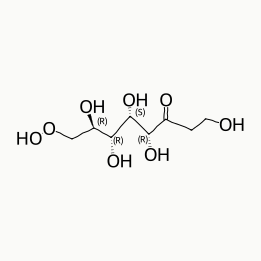 O=C(CCO)[C@H](O)[C@@H](O)[C@H](O)[C@H](O)COO